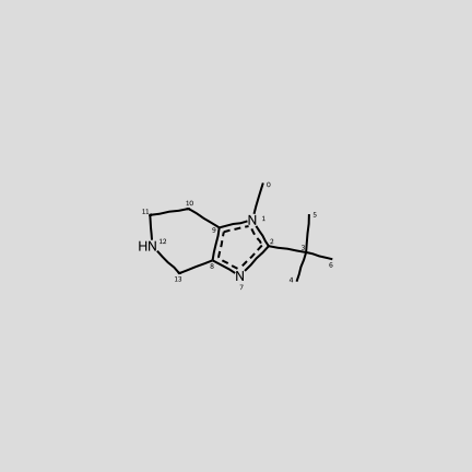 Cn1c(C(C)(C)C)nc2c1CCNC2